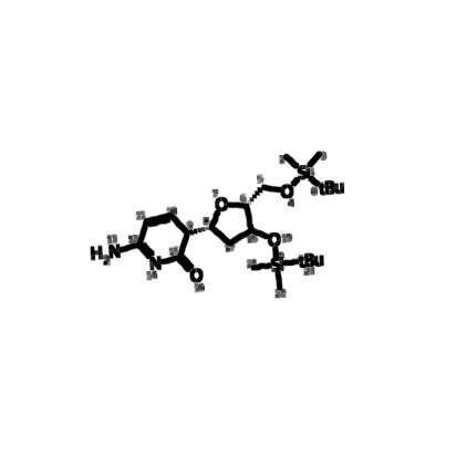 CC(C)(C)[Si](C)(C)OC[C@H]1O[C@@H](C2C=CC(N)=NC2=O)CC1O[Si](C)(C)C(C)(C)C